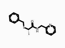 C[C@H](SCc1ccccc1)C(=O)NCc1ccccn1